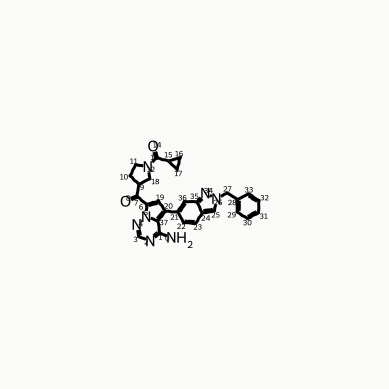 Nc1ncnn2c(C(=O)C3CCN(C(=O)C4CC4)C3)cc(-c3ccc4cn(Cc5ccccc5)nc4c3)c12